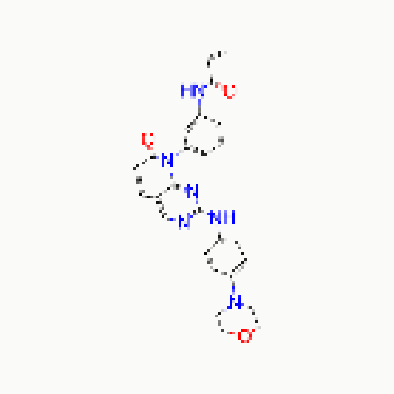 C=CC(=O)Nc1cccc(-n2c(=O)ccc3cnc(Nc4ccc(N5CCOCC5)cc4)nc32)c1